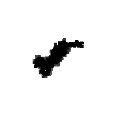 CC(=O)C#CC1CC[C@H]2[C@@H]3CCC4CC(O[Si](c5ccccc5)(c5ccccc5)C(C)(C)C)CC[C@]4(C)[C@@H]3CC[C@]12C